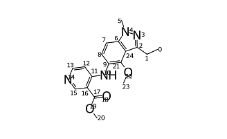 CCc1nn(C)c2ccc(Nc3ccncc3C(=O)OC)c(OC)c12